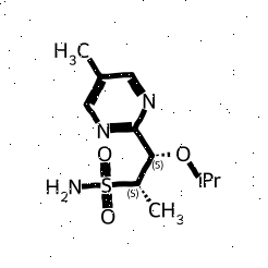 Cc1cnc([C@H](OC(C)C)[C@H](C)S(N)(=O)=O)nc1